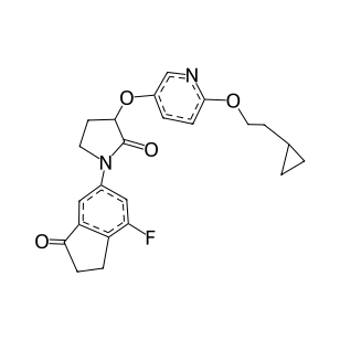 O=C1CCc2c(F)cc(N3CCC(Oc4ccc(OCCC5CC5)nc4)C3=O)cc21